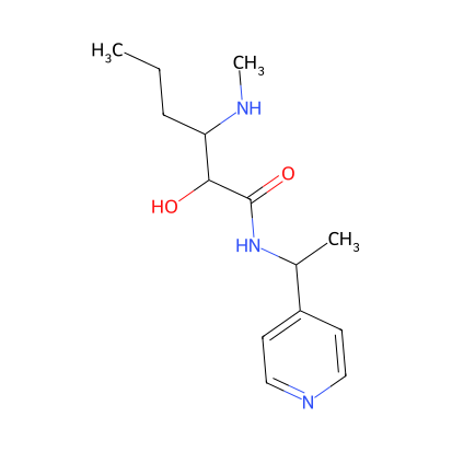 CCCC(NC)C(O)C(=O)NC(C)c1ccncc1